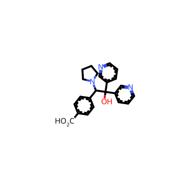 O=C(O)c1ccc(C(N2CCCC2)C(O)(c2cccnc2)c2cccnc2)cc1